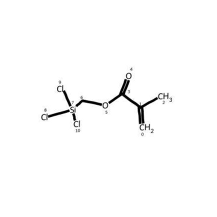 C=C(C)C(=O)OC[Si](Cl)(Cl)Cl